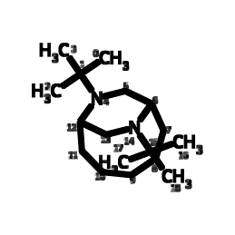 CC(C)(C)N1CC2CCCCCC1CN2C(C)(C)C